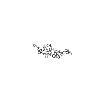 C=CC(=O)Nc1cc(Nc2nc(-c3ccnc(N4CCn5c(cc6c5CC(C)(C)C6)C4=O)c3CO)cn(C)c2=O)ccc1N1CCN(C2COC2)C[C@@H]1C